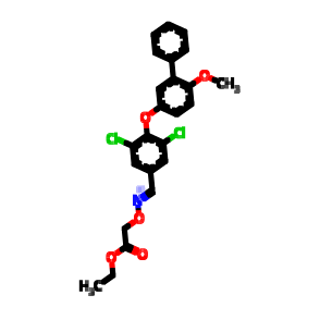 CCOC(=O)CO/N=C/c1cc(Cl)c(Oc2ccc(OC)c(-c3ccccc3)c2)c(Cl)c1